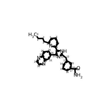 CCCCc1cccc(-c2[nH]c(Cc3cccc(C(N)=O)c3)nc2-c2ccc3nccnc3c2)n1